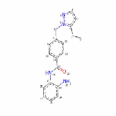 CCc1ccnn1Cc1ccc(C(=O)Nc2ccccc2N)cc1